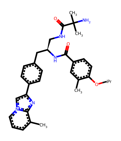 Cc1cc(C(=O)N[C@H](CNC(=O)C(C)(C)N)Cc2ccc(-c3cn4cccc(C)c4n3)cc2)ccc1OC(C)C